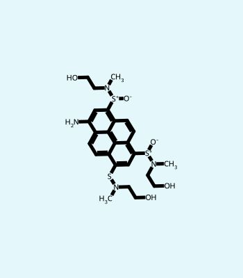 CN(CCO)Sc1cc([S+]([O-])N(C)CCO)c2ccc3c([S+]([O-])N(C)CCO)cc(N)c4ccc1c2c43